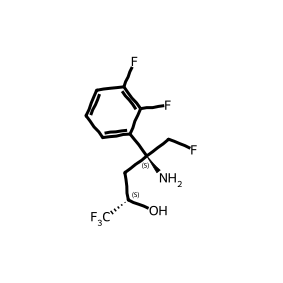 N[C@@](CF)(C[C@H](O)C(F)(F)F)c1cccc(F)c1F